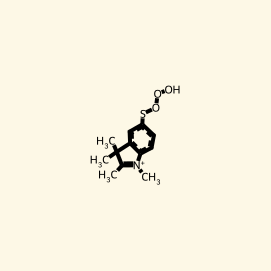 CC1=[N+](C)c2ccc(SOOO)cc2C1(C)C